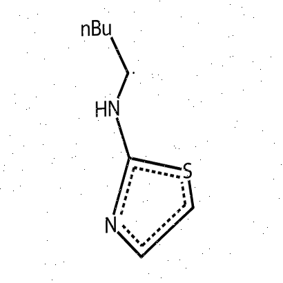 CCCC[CH]Nc1nccs1